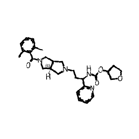 Cc1cccc(C)c1C(=O)N1CC2CN(CCC(NC(=O)OC3CCOC3)c3ccccn3)C[C@H]2C1